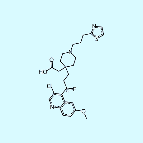 COc1ccc2ncc(Cl)c([C@H](F)CCC3(CC(=O)O)CCN(CCCc4nccs4)CC3)c2c1